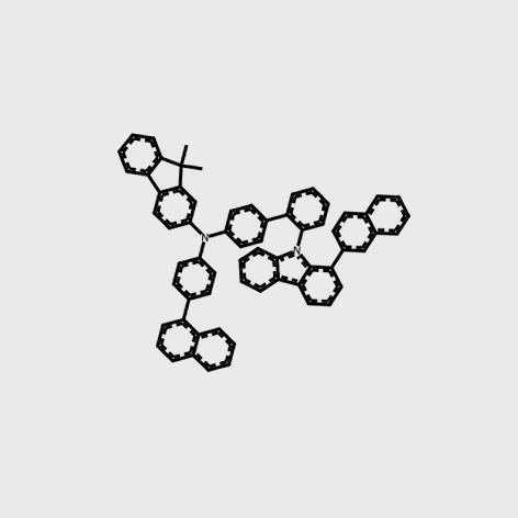 CC1(C)c2ccccc2-c2ccc(N(c3ccc(-c4ccccc4-n4c5ccccc5c5cccc(-c6ccc7ccccc7c6)c54)cc3)c3ccc(-c4cccc5ccccc45)cc3)cc21